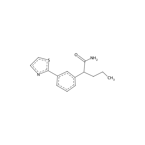 CCCC(C(N)=O)c1cccc(-c2nccs2)c1